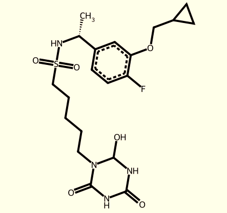 C[C@@H](NS(=O)(=O)CCCCCN1C(=O)NC(=O)NC1O)c1ccc(F)c(OCC2CC2)c1